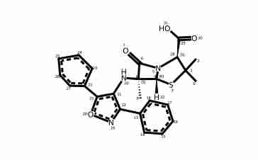 CC1(C)S[C@H]2N(C(=O)[C@]2(C)Nc2c(-c3ccccc3)noc2-c2ccccc2)[C@H]1C(=O)O